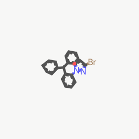 Brc1ccn(-c2ccccc2[C](c2ccccc2)c2ccccc2)n1